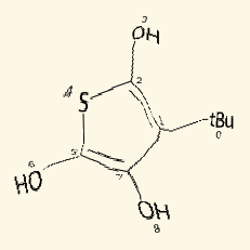 CC(C)(C)c1c(O)sc(O)c1O